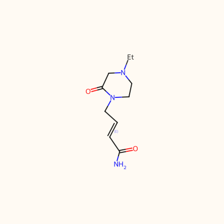 CCN1CCN(C/C=C/C(N)=O)C(=O)C1